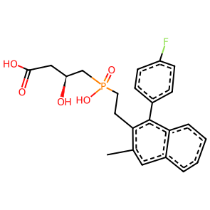 Cc1cc2ccccc2c(-c2ccc(F)cc2)c1CCP(=O)(O)C[C@@H](O)CC(=O)O